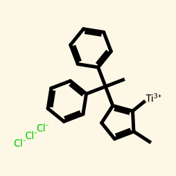 CC1=CCC(C(C)(c2ccccc2)c2ccccc2)=[C]1[Ti+3].[Cl-].[Cl-].[Cl-]